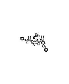 Cc1[nH]c2ccc(OCc3ccccc3)cc2c1C(=O)N(Cc1cccc2c1OCO2)C(CCCCNC(=O)OCc1ccccc1)C(=O)N(C)C#N